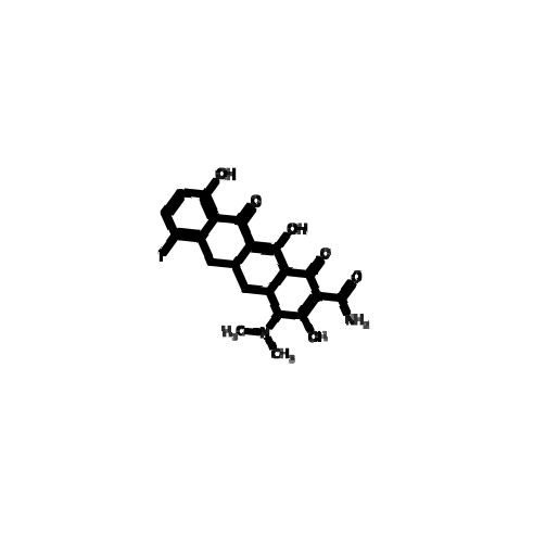 CN(C)C1C(O)=C(C(N)=O)C(=O)C2C(O)=C3C(=O)c4c(O)ccc(I)c4CC3CC21